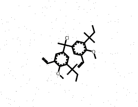 C=Cc1cc(C(C)(Cl)c2cc(C=C)c(OC)c(C(C)(C)CC)c2)cc(C(C)(C)CC)c1OC